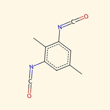 Cc1cc(N=C=O)c(C)c(N=C=O)c1